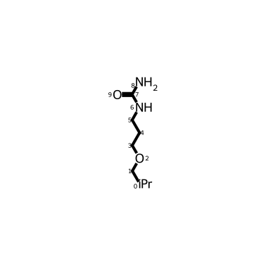 CC(C)COCCCNC(N)=O